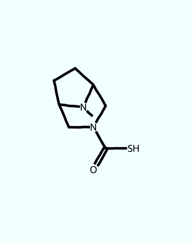 CN1C2CCC1CN(C(=O)S)C2